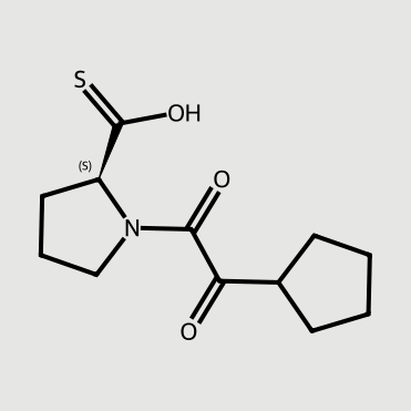 O=C(C(=O)N1CCC[C@H]1C(O)=S)C1CCCC1